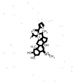 CO/N=C1\C=C2C(CCC3(C)C(C(C)N(CC(F)F)C(=O)c4ccco4)CC[C@@]23O)C2(C)CC(O)[C@H](O)CC12